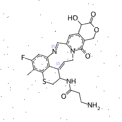 Cc1c(F)cc2c3c1SCC(NC(=O)CCN)/C3=C\Cn1c(cc3c(c1=O)COC(=O)C3O)/C=N/2